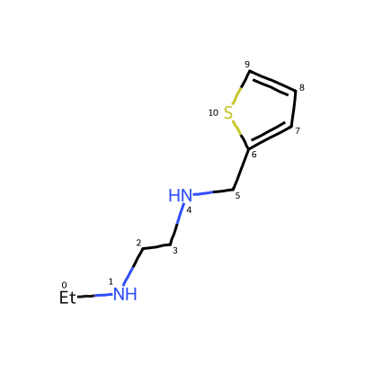 [CH2]CNCCNCc1cccs1